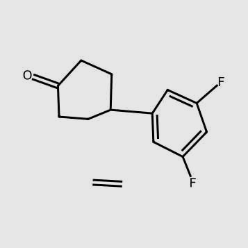 C=C.O=C1CCC(c2cc(F)cc(F)c2)CC1